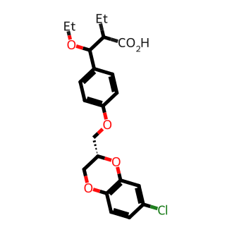 CCOC(c1ccc(OC[C@H]2COc3ccc(Cl)cc3O2)cc1)C(CC)C(=O)O